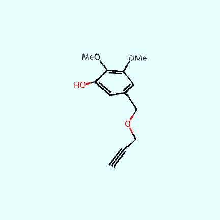 C#CCOCc1cc(O)c(OC)c(OC)c1